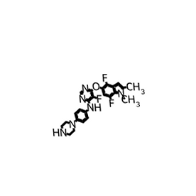 Cc1cc2c(F)c(Oc3ncnc(Nc4ccc(N5CCNCC5)cc4)c3F)cc(F)c2n1C